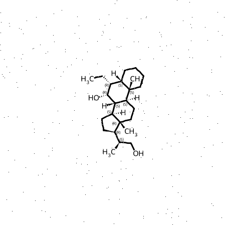 CC[C@H]1[C@@H](O)[C@@H]2[C@H](CC[C@]3(C)[C@@H]([C@H](C)CO)CC[C@@H]23)[C@@]2(C)CCCC[C@@H]12